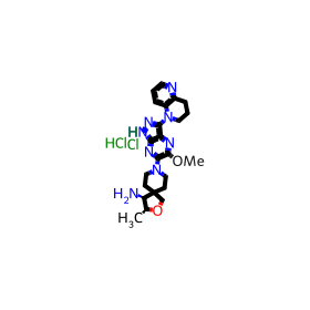 COc1nc2c(N3CCCc4ncccc43)n[nH]c2nc1N1CCC2(CC1)CO[C@@H](C)[C@H]2N.Cl.Cl